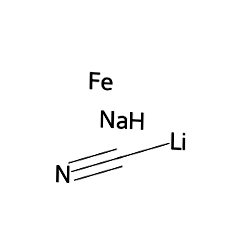 [Fe].[Li][C]#N.[NaH]